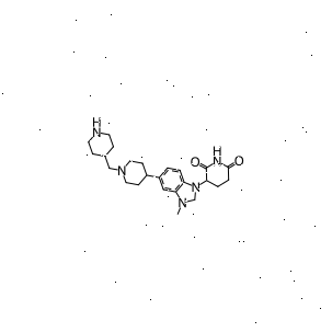 CN1CN(C2CCC(=O)NC2=O)c2ccc(C3CCN(CC4CCNCC4)CC3)cc21